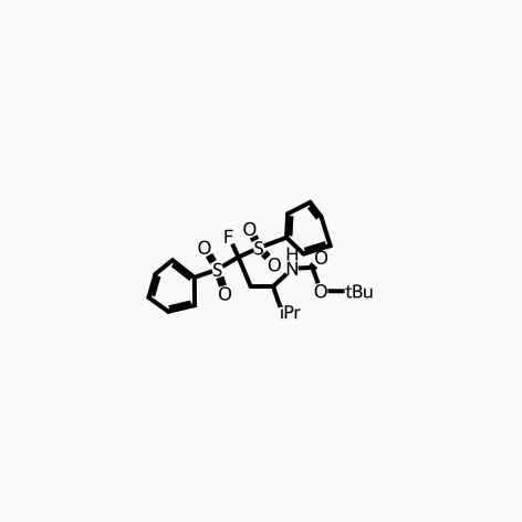 CC(C)C(CC(F)(S(=O)(=O)c1ccccc1)S(=O)(=O)c1ccccc1)NC(=O)OC(C)(C)C